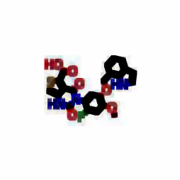 COc1cc(F)c(-n2c(=O)[nH]c3csc(C(=O)O)c3c2=O)cc1OCc1cccc2cc[nH]c12